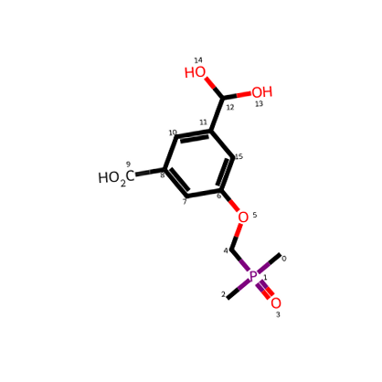 CP(C)(=O)COc1cc(C(=O)O)cc(C(O)O)c1